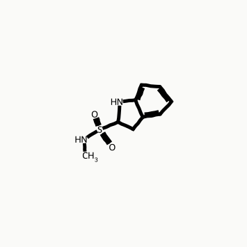 CNS(=O)(=O)C1Cc2ccccc2N1